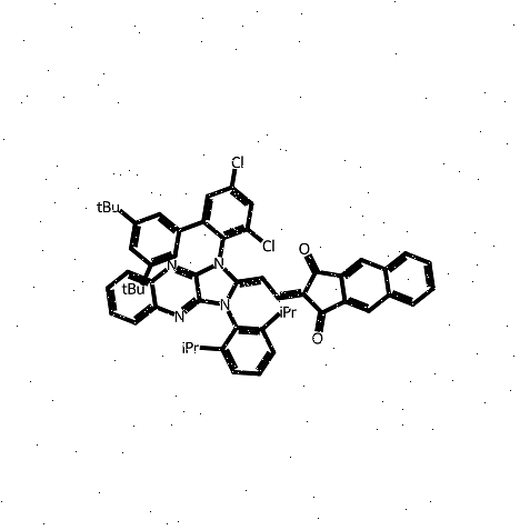 CC(C)c1cccc(C(C)C)c1N1/C(=C\C=C2C(=O)c3cc4ccccc4cc3C2=O)N(c2c(Cl)cc(Cl)cc2-c2cc(C(C)(C)C)cc(C(C)(C)C)c2)c2nc3ccccc3nc21